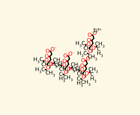 CC(C)OCC(CC(=O)CC(=O)[O-])(OC(C)C)OC(C)C.CC(C)OCC(CC(=O)CC(=O)[O-])(OC(C)C)OC(C)C.CC(C)OCC(CC(=O)CC(=O)[O-])(OC(C)C)OC(C)C.CC(C)OCC(CC(=O)CC(=O)[O-])(OC(C)C)OC(C)C.[Ti+4]